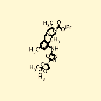 Cc1cc(CN2CCN(C(=O)OC(C)C)[C@@H](C)C2)c(C)c(Nc2nnc([C@@H]3COC(C)(C)O3)o2)c1